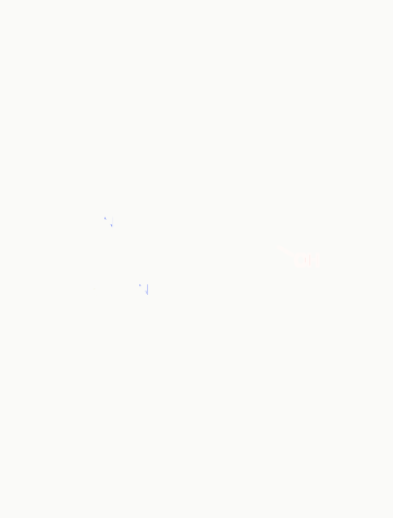 OCCCc1ncsn1